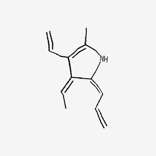 C=C/C=c1/[nH]c(C)c(C=C)/c1=C/C